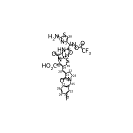 Nc1nc(/C(=N/OC(=O)C(F)(F)F)C(=O)N[C@@H]2C(=O)N3C(C(=O)O)=C(/C=C4\CCN(Cc5cccc(F)c5)C4=O)CS[C@H]23)cs1